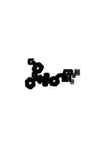 N[C@@H](Cc1cccc(S(=O)(=O)N2CC(Oc3cccc(Cl)c3)(c3ccccc3)C2)c1)C(=O)O